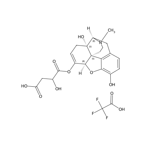 CN1CC[C@]23c4c5ccc(O)c4O[C@H]2C(OC(=O)C(O)CC(=O)O)=CC[C@@]3(O)[C@H]1C5.O=C(O)C(F)(F)F